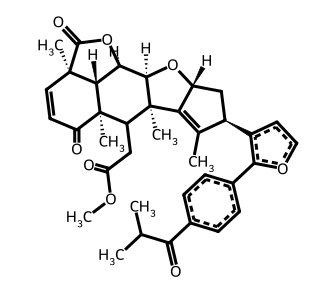 COC(=O)CC1[C@]2(C)C3=C(C)[C@H](c4ccoc4-c4ccc(C(=O)C(C)C)cc4)C[C@H]3O[C@@H]2[C@@H]2OC(=O)[C@]3(C)C=CC(=O)[C@@]1(C)[C@@H]23